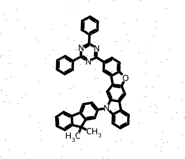 CC1(C)c2ccccc2-c2ccc(-n3c4ccccc4c4cc5oc6ccc(-c7nc(-c8ccccc8)nc(-c8ccccc8)n7)cc6c5cc43)cc21